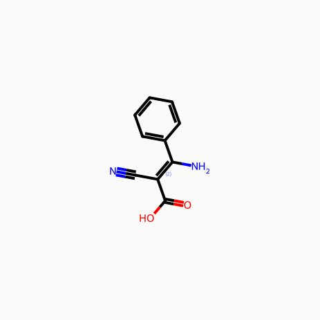 N#C/C(C(=O)O)=C(/N)c1ccccc1